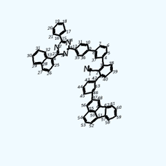 N#Cc1c(-c2cccc(-c3ccc(-c4nc(-c5ccccc5)nc(-c5cccc6ccccc56)n4)cc3)c2)cccc1-c1cccc(-c2cc3c4c(cccc4c2)-c2ccccc2-3)c1